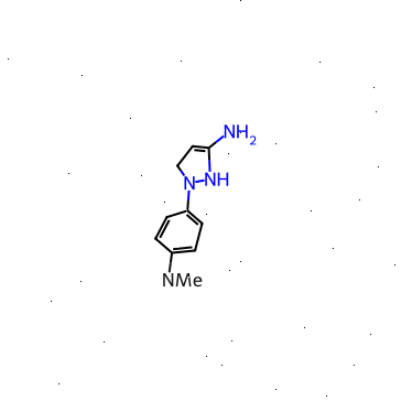 CNc1ccc(N2CC=C(N)N2)cc1